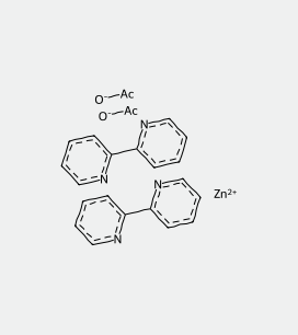 CC(=O)[O-].CC(=O)[O-].[Zn+2].c1ccc(-c2ccccn2)nc1.c1ccc(-c2ccccn2)nc1